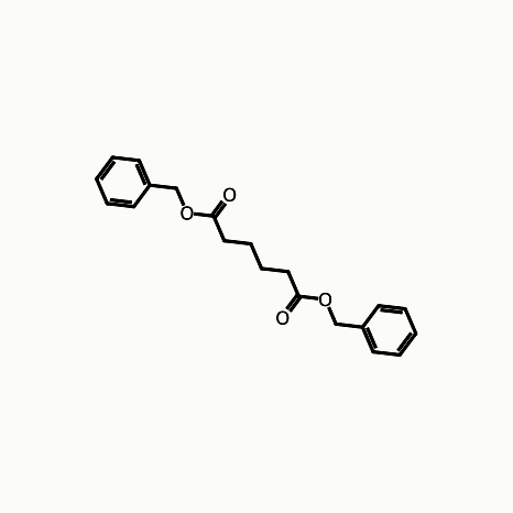 O=C(CCCCC(=O)OCc1ccccc1)OCc1ccccc1